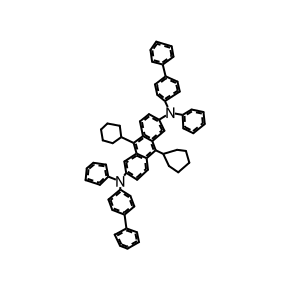 c1ccc(-c2ccc(N(c3ccccc3)c3ccc4c(C5CCCCC5)c5cc(N(c6ccccc6)c6ccc(-c7ccccc7)cc6)ccc5c(C5CCCCC5)c4c3)cc2)cc1